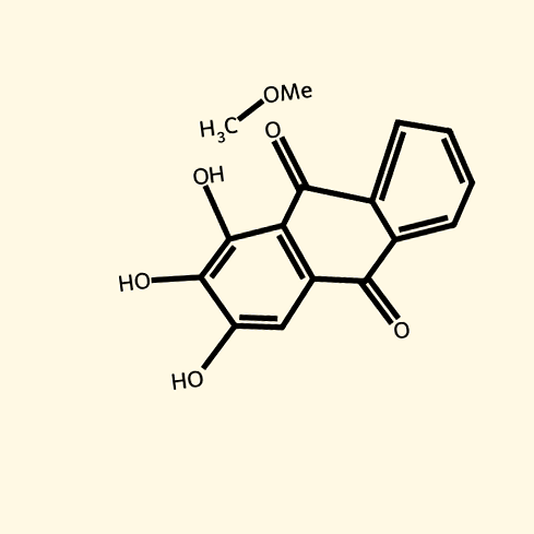 COC.O=C1c2ccccc2C(=O)c2c1cc(O)c(O)c2O